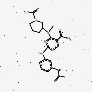 CC(=O)Nc1cccc(Nc2ncc(C(N)=O)c(N(C)C3CCCN(C(N)=O)C3)n2)c1